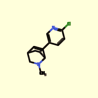 CN1CC2C=CC1C(c1ccc(Cl)nc1)C2